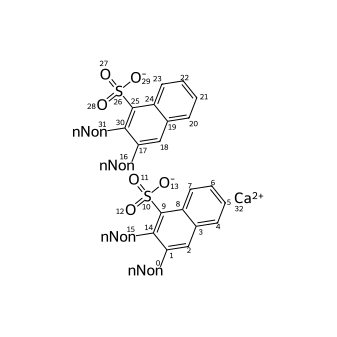 CCCCCCCCCc1cc2ccccc2c(S(=O)(=O)[O-])c1CCCCCCCCC.CCCCCCCCCc1cc2ccccc2c(S(=O)(=O)[O-])c1CCCCCCCCC.[Ca+2]